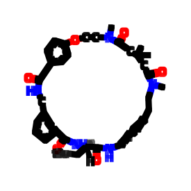 CN1CCOc2ccc(cc2)C(=O)NCc2cccc(c2)C(=O)N[C@@H](CC(C)(C)C)C(=O)Nc2ccc(cc2)CCN(C)C(=O)CC(C)(C)CC1=O